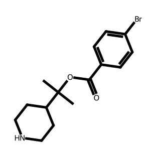 CC(C)(OC(=O)c1ccc(Br)cc1)C1CCNCC1